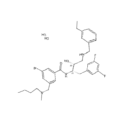 CCCCN(C)Cc1cc(Br)cc(C(=O)N[C@@H](Cc2cc(F)cc(F)c2)[C@H](O)CNCc2cccc(CC)c2)c1.Cl.Cl